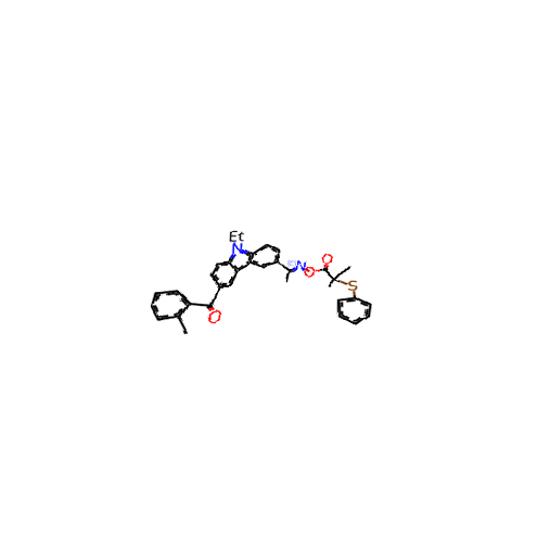 CCn1c2ccc(C(=O)c3ccccc3C)cc2c2cc(/C(C)=N/OC(=O)C(C)(C)Sc3ccccc3)ccc21